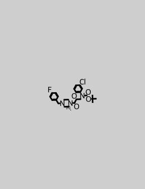 C[C@@H]1CN(Cc2ccc(F)cc2)CCN1C(=O)C1CN(C(=O)OC(C)(C)C)c2cc(Cl)ccc2O1